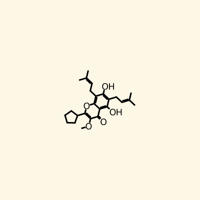 COc1c(C2CCCC2)oc2c(CC=C(C)C)c(O)c(CC=C(C)C)c(O)c2c1=O